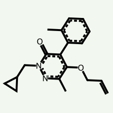 C=CCOc1c(C)nn(CC2CC2)c(=O)c1-c1ccccc1C